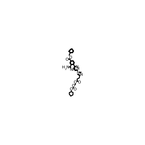 N=C(N)c1cc(C(=O)OCc2ccccc2)ccc1-c1ccc(-n2cnc(CCC(=O)OCOC(=O)OC3CCCCC3)c2)nn1